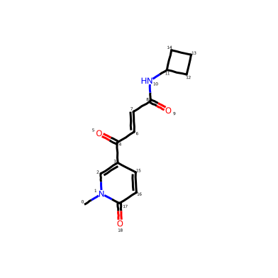 Cn1cc(C(=O)/C=C/C(=O)NC2CCC2)ccc1=O